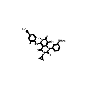 C#Cc1ccc(Nc2c3c(=O)n(C4CC4)c(=O)n(-c4cccc(NC(C)=O)c4)c3c(CC)c(=O)n2C)c(F)c1